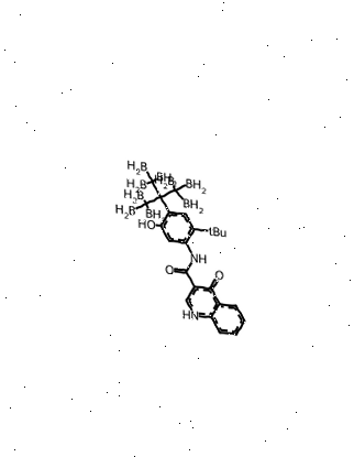 BC(B)(B)C(c1cc(C(C)(C)C)c(NC(=O)c2c[nH]c3ccccc3c2=O)cc1O)(C(B)(B)B)C(B)(B)B